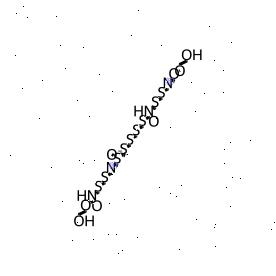 O=C(NCSCSC/N=C/[S+]([O-])CSCSCSCSC(=O)NCSCSC/N=C/OOCCO)OCCO